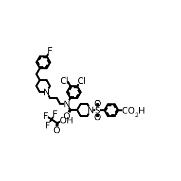 O=C(O)C(F)(F)F.O=C(O)c1ccc(S(=O)(=O)N2CCC(C(=O)N(CCCN3CCC(Cc4ccc(F)cc4)CC3)c3ccc(Cl)c(Cl)c3)CC2)cc1